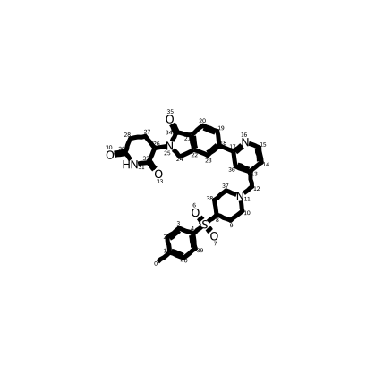 Cc1ccc(S(=O)(=O)C2CCN(Cc3ccnc(-c4ccc5c(c4)CN(C4CCC(=O)NC4=O)C5=O)c3)CC2)cc1